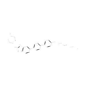 O=C(O)[C@H]1CC[C@H](Oc2nc3cc(-c4ccc(-c5ccc(COCCOCCO)cc5)cc4)c(Cl)cc3[nH]2)CC1